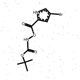 CC(C)(C)OC(=O)NOC(=O)c1cc(Br)c[nH]1